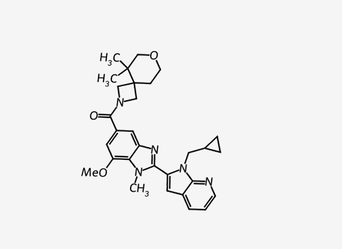 COc1cc(C(=O)N2CC3(CCOCC3(C)C)C2)cc2nc(-c3cc4cccnc4n3CC3CC3)n(C)c12